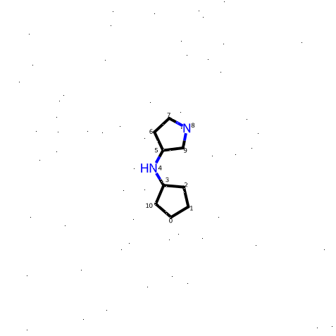 C1CCC(NC2CC[N]C2)C1